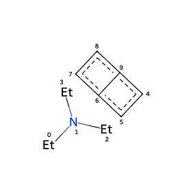 CCN(CC)CC.c1cc2ccc1-2